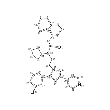 O=C(Cc1cccc2ccccc12)N(CCn1nc(-c2ccncc2)nc1-c1cccc(Cl)c1)C1CCCC1